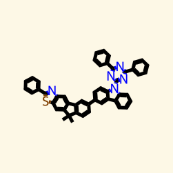 CC1(C)c2ccc(-c3ccc4c(c3)c3ccccc3n4-c3nc(-c4ccccc4)nc(-c4ccccc4)n3)cc2-c2cc3nc(-c4ccccc4)sc3cc21